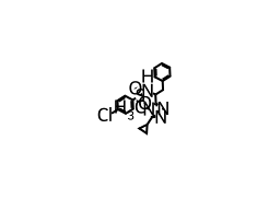 Cn1c(C2CC2)nnc1C(Cc1ccccc1)NS(=O)(=O)c1ccc(Cl)cc1